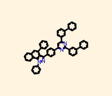 c1ccc(-c2cccc(-c3cc(-c4ccc(-c5nn(-c6ccccc6)c6c5c(-c5ccccc5)cc5ccccc56)cc4)nc(-c4cccc(-c5ccccc5)c4)n3)c2)cc1